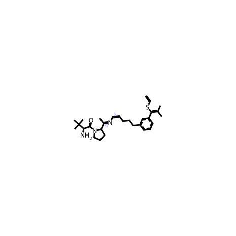 C=CSC(=C(C)C)c1cccc(CCC/C=C\N=C(/C)C2CCCN2C(=O)C(N)C(C)(C)C)c1